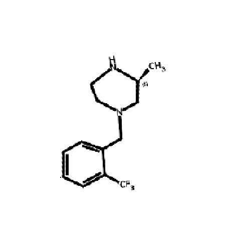 C[C@H]1CN(Cc2cc[c]cc2C(F)(F)F)CCN1